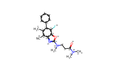 Cc1c(-c2ccccc2)c(F)c2oc(N(C)CCC(=O)N(C)C)nc2c1C#N